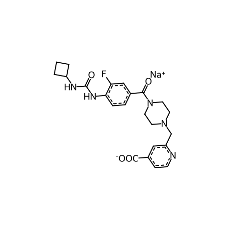 O=C(Nc1ccc(C(=O)N2CCN(Cc3cc(C(=O)[O-])ccn3)CC2)cc1F)NC1CCC1.[Na+]